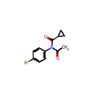 CC(=O)N(C(=O)C1CC1)c1ccc(Br)cc1